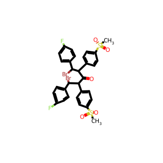 CS(=O)(=O)c1ccc(C(C(=O)C(c2ccc(S(C)(=O)=O)cc2)C(Br)c2ccc(F)cc2)C(Br)c2ccc(F)cc2)cc1